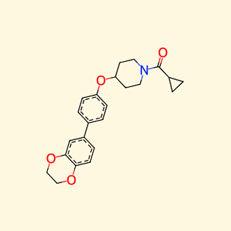 O=C(C1CC1)N1CCC(Oc2ccc(-c3ccc4c(c3)OCCO4)cc2)CC1